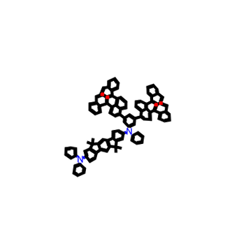 CC1(C)c2cc(N(c3ccccc3)c3ccccc3)ccc2-c2cc3c(cc21)-c1ccc(N(c2ccccc2)c2cc(-c4ccc(-c5cccc6ccccc56)c5c(-c6cccc7ccccc67)cccc45)cc(-c4ccc(-c5cccc6ccccc56)c5c(-c6cccc7ccccc67)cccc45)c2)cc1C3(C)C